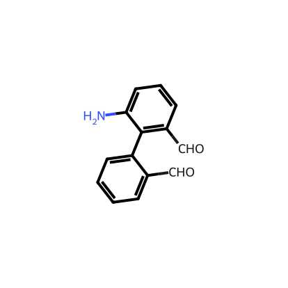 Nc1cccc(C=O)c1-c1ccccc1C=O